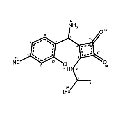 CC(Nc1c(C(N)c2ccc(C#N)cc2Cl)c(=O)c1=O)C(C)(C)C